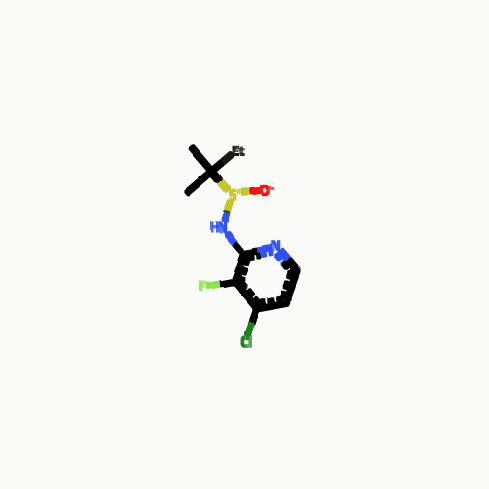 CCC(C)(C)[S+]([O-])Nc1nccc(Cl)c1F